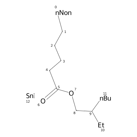 CCCCCCCCCCCCCC(=O)OCC(CC)CCCC.[Sn]